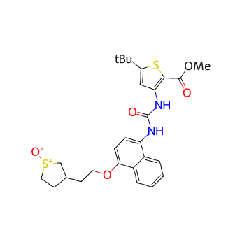 COC(=O)c1sc(C(C)(C)C)cc1NC(=O)Nc1ccc(OCCC2CC[S+]([O-])C2)c2ccccc12